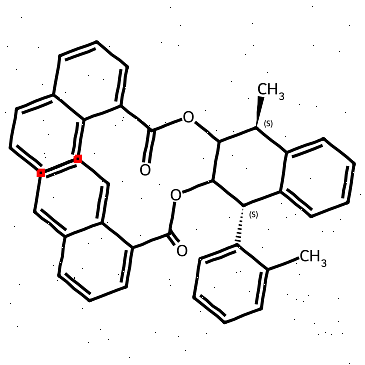 Cc1ccccc1[C@H]1c2ccccc2[C@H](C)C(OC(=O)c2cccc3ccccc23)C1OC(=O)c1cccc2ccccc12